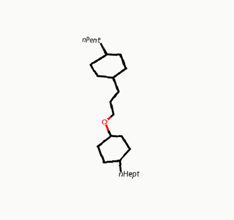 CCCCCCCC1CCC(OCCCC2CCC(CCCCC)CC2)CC1